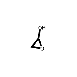 OC1CO1